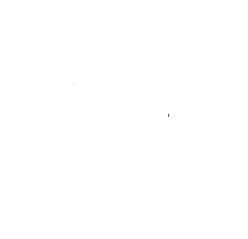 CCC(c1ccc(N(C)C)cc1)[SiH](F)F